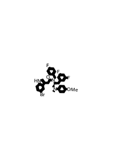 COc1ccc(N(C)C[C@H](Cc2cc(F)cc(F)c2)N(Cc2ccc(F)cc2)C(=O)Cc2c[nH]c3ccc(Br)cc23)cc1